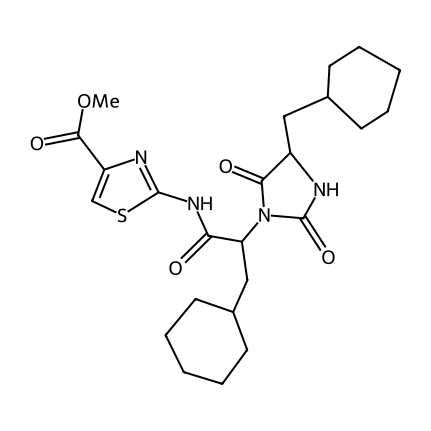 COC(=O)c1csc(NC(=O)C(CC2CCCCC2)N2C(=O)NC(CC3CCCCC3)C2=O)n1